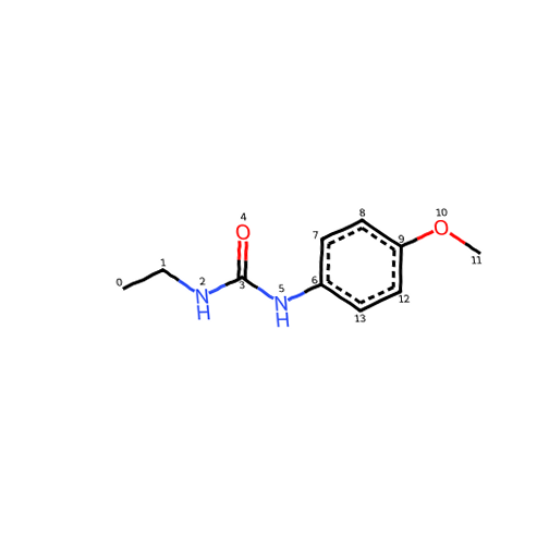 CCNC(=O)Nc1ccc(OC)cc1